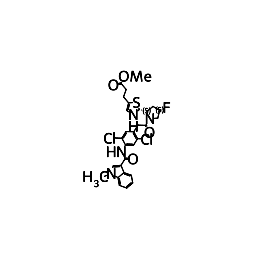 COC(=O)CCC1=CNC([C@@H]2C[C@H](F)CN2C(=O)Cc2cc(Cl)c(NC(=O)c3cn(C)c4ccccc34)cc2Cl)S1